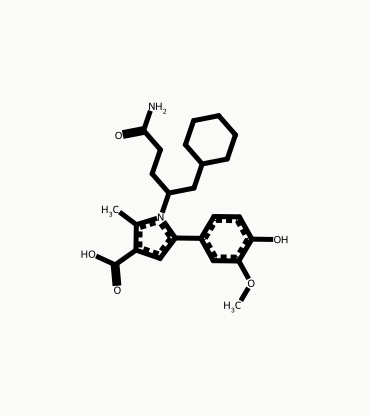 COc1cc(-c2cc(C(=O)O)c(C)n2C(CCC(N)=O)CC2CCCCC2)ccc1O